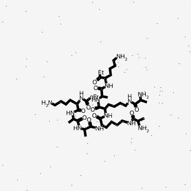 CCCC(=O)NC(CCCCN)C(=O)NC(C)C(=O)NC(C)C(=O)NC(CCCCNC(=O)C(C)N)C(=O)NC(CCCCNC(=O)C(C)N)C(=O)NC(C)C(=O)NC(CCCCN)C(=O)CC